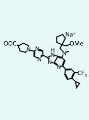 COCC1(CN(C)c2cc(-c3ccc(C4CC4)c(C(F)(F)F)c3)nc3nc(-c4cnc(N5CCC(C(=O)[O-])CC5)cn4)[nH]c23)CCCC1.[Na+]